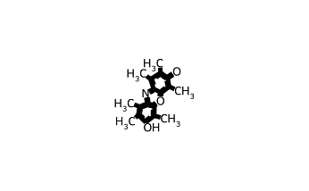 Cc1c2nc3c(C)c(C)c(O)c(C)c3oc-2c(C)c(=O)c1C